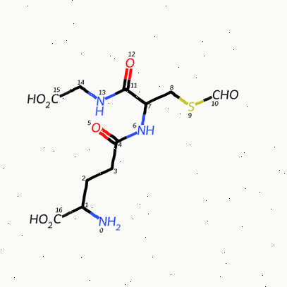 NC(CCC(=O)NC(CSC=O)C(=O)NCC(=O)O)C(=O)O